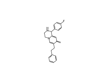 C=C1C=C2C(c3ccc(F)cc3)NCCN2C=C1CCc1ccccc1